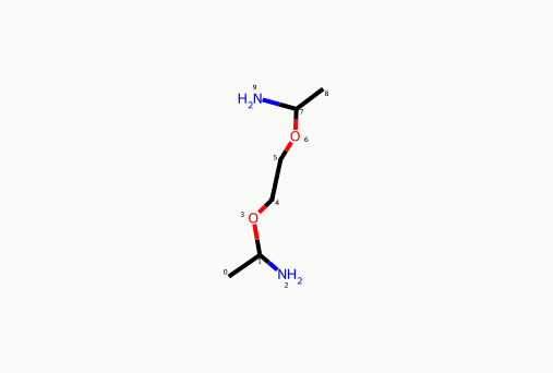 CC(N)OCCOC(C)N